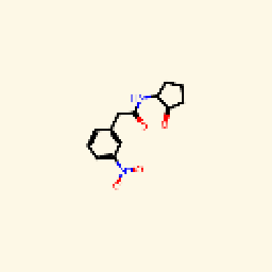 O=C(Cc1cccc([N+](=O)[O-])c1)NC1CCCC1=O